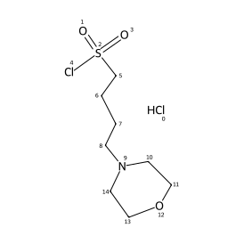 Cl.O=S(=O)(Cl)CCCCN1CCOCC1